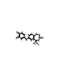 C[C@@H]1CNCCc2ccc(Cc3ccc(F)c(F)c3)cc21